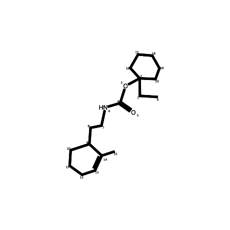 CCC1(OC(=O)NCCC2CCCC=C2C)CCCCC1